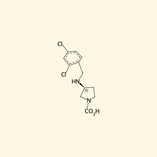 O=C(O)N1CC[C@H](NCc2ccc(Cl)cc2Cl)C1